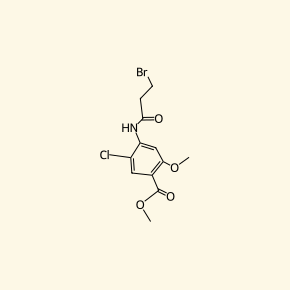 COC(=O)c1cc(Cl)c(NC(=O)CCBr)cc1OC